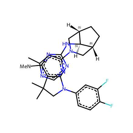 CNc1nc(N[C@@H]2[C@@H]3CC[C@H]2CN(c2cc(C)ncn2)C3)nc2c1C(C)(C)CN2c1ccc(F)c(F)c1